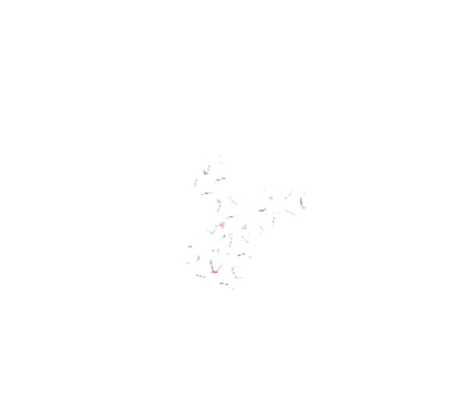 Cc1cc(-c2cccc3ccccc23)cc(C)c1N(c1ccc2c(c1)C(C)(C)c1ccccc1-2)c1ccc2c(c1)C1(c3ccccc3CCc3ccccc31)c1ccccc1-2